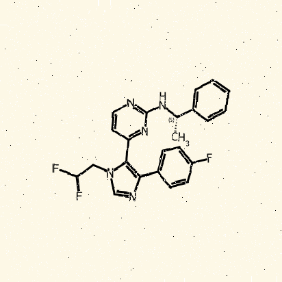 C[C@H](Nc1nccc(-c2c(-c3ccc(F)cc3)ncn2CC(F)F)n1)c1ccccc1